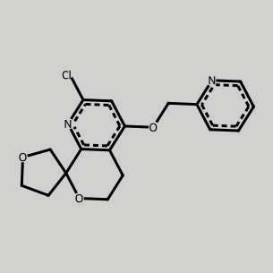 Clc1cc(OCc2ccccn2)c2c(n1)C1(CCOC1)OCC2